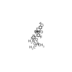 C=CC(=O)N(C)CCOc1c(N)ncnc1-c1cc(F)cc(NC(=O)c2cc3c(cc2F)C2(CC3)CC2)c1CO